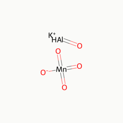 [K+].[O]=[AlH].[O]=[Mn](=[O])(=[O])[O-]